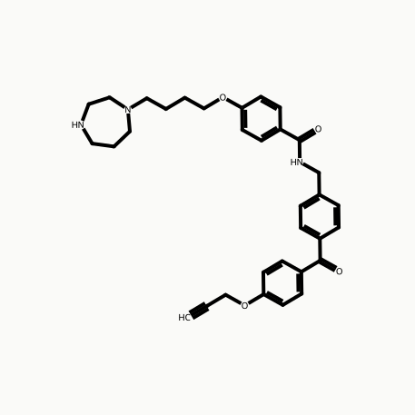 C#CCOc1ccc(C(=O)c2ccc(CNC(=O)c3ccc(OCCCCN4CCCNCC4)cc3)cc2)cc1